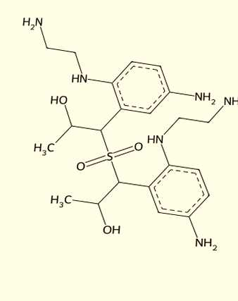 CC(O)C(c1cc(N)ccc1NCCN)S(=O)(=O)C(c1cc(N)ccc1NCCN)C(C)O